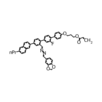 C=CC(=O)OCCCOc1ccc(-c2ccc(-c3ccc(-c4ccc5cc(CCC)ccc5c4)cc3/C=N/N=C/c3ccc4c(c3)OCO4)cc2F)cc1